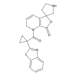 O=C1OC2(CCNC2)C2=C1N(C(=O)C1(c3nc4ccccc4s3)CC1)CC=C2